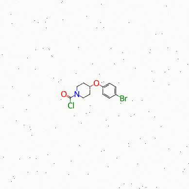 O=C(Cl)N1CCC(Oc2ccc(Br)cc2)CC1